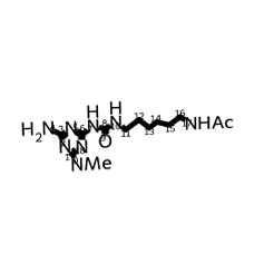 CNc1nc(N)nc(NC(=O)NCCCCCCNC(C)=O)n1